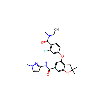 CN(CC#N)C(=O)c1ccc(Oc2cc(C(=O)Nc3ccn(C)n3)cc3c2CC(C)(C)O3)cc1F